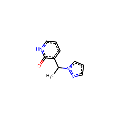 CC(c1ccc[nH]c1=O)n1cccn1